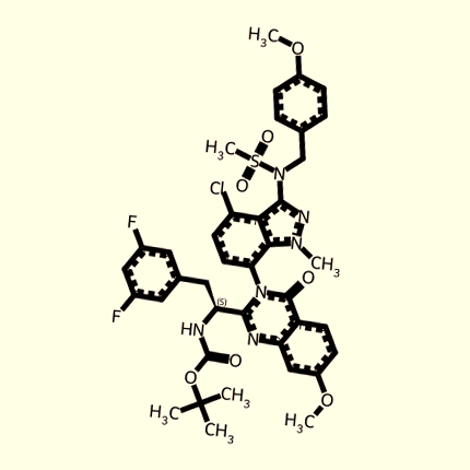 COc1ccc(CN(c2nn(C)c3c(-n4c([C@H](Cc5cc(F)cc(F)c5)NC(=O)OC(C)(C)C)nc5cc(OC)ccc5c4=O)ccc(Cl)c23)S(C)(=O)=O)cc1